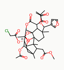 COC(=O)CC1C2(C)CC34OC5(C)OC67C(C(C(=O)C(C)C)C(=O)OC6[C@]3(OC(=O)CCl)C2OC(C)=O)C(C)(C(OC(C)=O)c2ccoc2)CCC7(O5)C14C